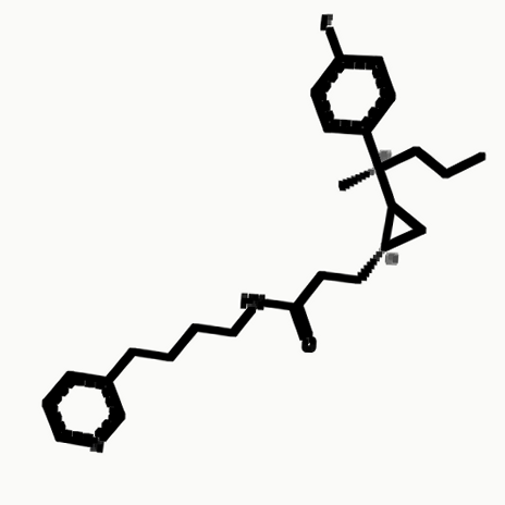 CCC[C@](C)(c1ccc(F)cc1)C1C[C@@H]1CCC(=O)NCCCCc1cccnc1